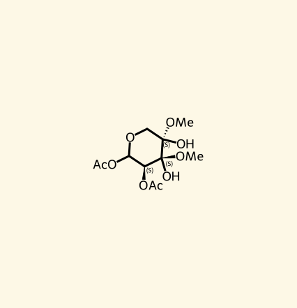 CO[C@@]1(O)[C@@H](OC(C)=O)C(OC(C)=O)OC[C@]1(O)OC